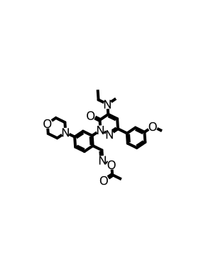 CCN(C)c1cc(-c2cccc(OC)c2)nn(-c2cc(N3CCOCC3)ccc2/C=N/OC(C)=O)c1=O